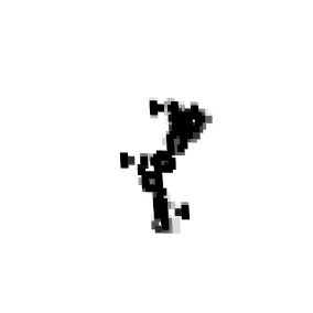 Cc1cc(C2CCN(S(=O)(=O)C3(C(=O)NO)CCOCC3)CC2)ccc1-c1cccc(OC[C@H](O)CO)c1